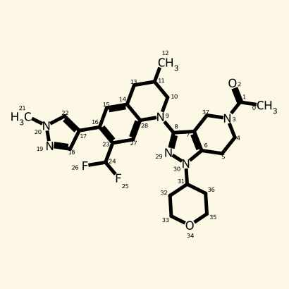 CC(=O)N1CCc2c(c(N3CC(C)Cc4cc(-c5cnn(C)c5)c(C(F)F)cc43)nn2C2CCOCC2)C1